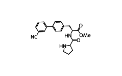 COC(=O)[C@H](Cc1ccc(-c2cccc(C#N)c2)cc1)NC(=O)C1CCCN1